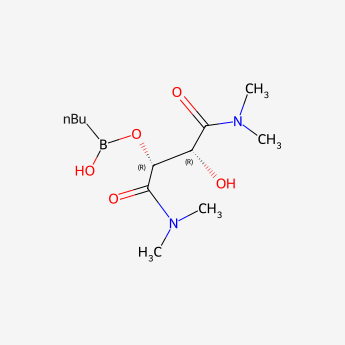 CCCCB(O)O[C@@H](C(=O)N(C)C)[C@@H](O)C(=O)N(C)C